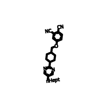 CCCCCCCc1cnc(C2CCC(COc3ccc(C#N)c(C#N)c3)CC2)nc1